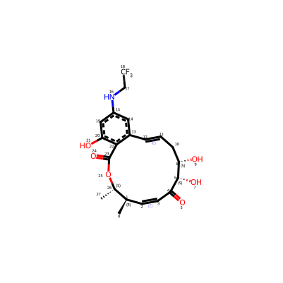 C[C@@H]1/C=C\C(=O)[C@@H](O)[C@@H](O)C/C=C/c2cc(NCC(F)(F)F)cc(O)c2C(=O)O[C@H]1C